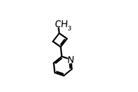 CC1C=C(c2ccccn2)C1